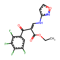 CCOC(=O)C(=CNc1ccon1)C(=O)c1cc(F)c(F)c(F)c1F